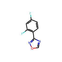 Fc1ccc(-c2ncon2)c(F)c1